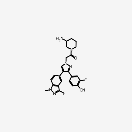 Cn1nc(F)c2cc(-c3cn(CC(=O)N4CCCC(N)C4)nc3-c3ccc(C#N)c(F)c3)ccc21